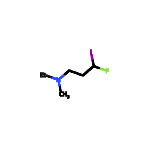 CCN(C)CCC(F)I